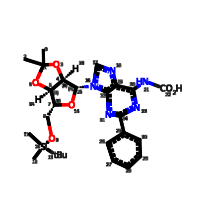 CC1(C)O[C@@H]2[C@H](O1)[C@@H](CO[Si](C)(C)C(C)(C)C)O[C@H]2n1cnc2c(NC(=O)O)nc(-c3ccccc3)nc21